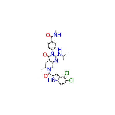 CNC(=O)c1ccc(-n2c(NC(C)C)nc3c(c2=O)C[C@@H](C)N(C(=O)c2cc4c(Cl)c(Cl)ccc4[nH]2)C3)cc1